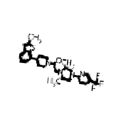 Cc1cc2cccc(C3=CCN(C(=O)CN4[C@H](C)CN(c5ccc(C(F)(F)F)cn5)C[C@@H]4C)CC3)c2s1